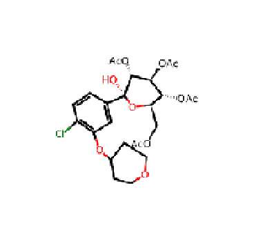 CC(=O)OC[C@H]1O[C@@](O)(c2ccc(Cl)c(OC3CCOCC3)c2)[C@H](OC(C)=O)[C@@H](OC(C)=O)[C@@H]1OC(C)=O